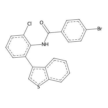 O=C(Nc1c(Cl)cccc1-c1csc2ccccc12)c1ccc(Br)cc1